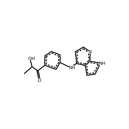 CC(O)C(=O)c1cccc(Nc2ccnc3[nH]ccc23)c1